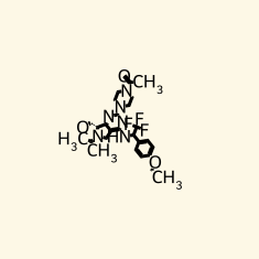 CCOc1ccc(C(Nc2nc(N3CCN(C(C)=O)CC3)nc3c2CN(C(C)C)[C@@H]3C=O)C(F)(F)F)cc1